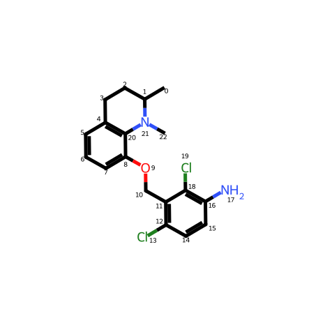 CC1CCc2cccc(OCc3c(Cl)ccc(N)c3Cl)c2N1C